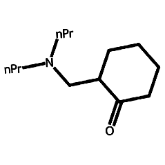 CCCN(CCC)CC1CCCCC1=O